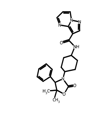 CC1(C)OC(=O)N(C2CCC(NC(=O)c3cnn4cccnc34)CC2)C1c1ccccc1